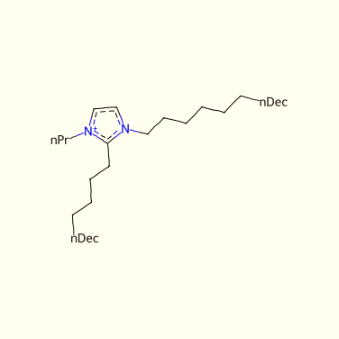 CCCCCCCCCCCCCCCCn1cc[n+](CCC)c1CCCCCCCCCCCCCC